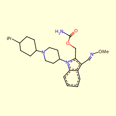 CON=Cc1c(COC(N)=O)n(C2CCN(C3CCC(C(C)C)CC3)CC2)c2ccccc12